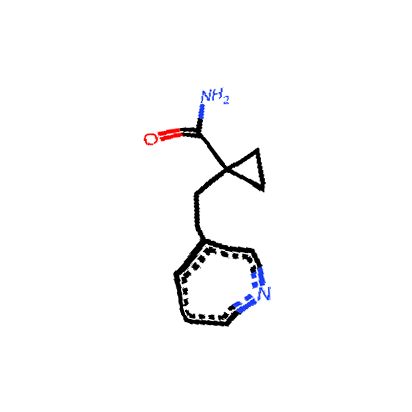 NC(=O)C1(Cc2cccnc2)CC1